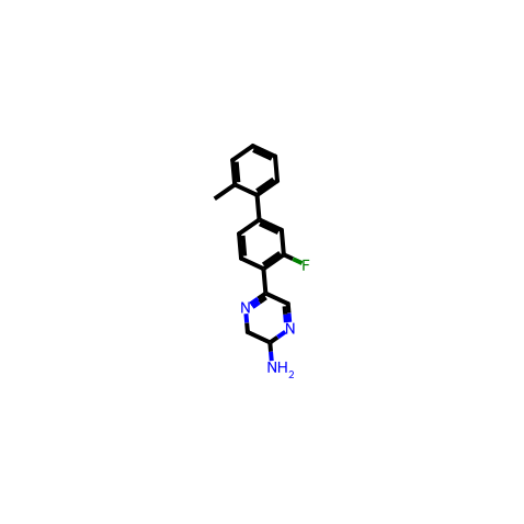 Cc1ccccc1-c1ccc(C2=NCC(N)N=C2)c(F)c1